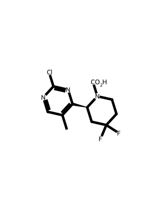 Cc1cnc(Cl)nc1[C@@H]1CC(F)(F)CCN1C(=O)O